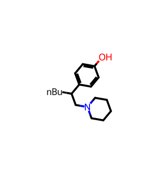 CCCCC(CN1CCCCC1)c1ccc(O)cc1